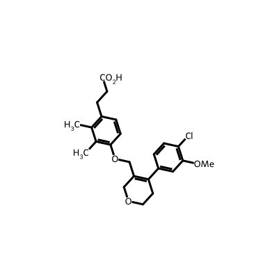 COc1cc(C2=C(COc3ccc(CCC(=O)O)c(C)c3C)COCC2)ccc1Cl